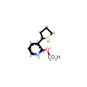 O=C(O)Oc1ncccc1C1CCCS1